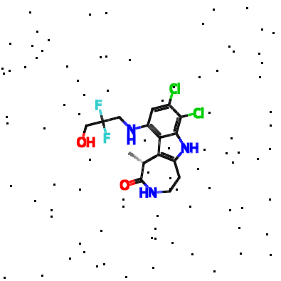 C[C@H]1C(=O)NCCc2[nH]c3c(Cl)c(Cl)cc(NCC(F)(F)CO)c3c21